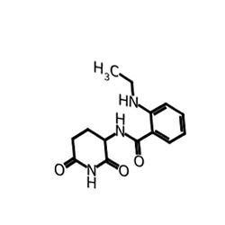 CCNc1ccccc1C(=O)NC1CCC(=O)NC1=O